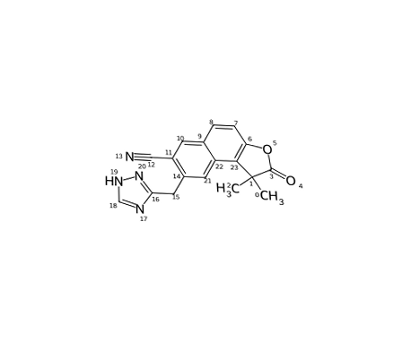 CC1(C)C(=O)Oc2ccc3cc(C#N)c(Cc4nc[nH]n4)cc3c21